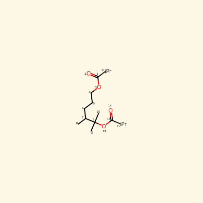 CC(C)C(=O)OCCCC(C)C(C)(C)OC(=O)C(C)C